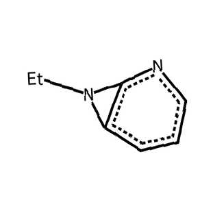 CCN1c2cccnc21